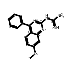 COc1ccc2c(-c3ccccc3)nc(NC(=N)N)nc2c1